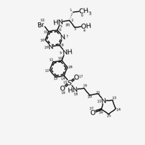 CC[C@H](CO)Nc1nc(Nc2cccc(S(=O)(=O)NCCCN3CCCC3=O)c2)ncc1Br